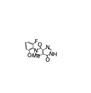 COc1cccc(F)c1-n1ccc2c(=O)[nH]cnc2c1=O